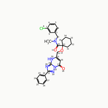 CN(Cc1cccc(Cl)c1)C(=O)C1(OCc2cc(=O)n3nc(-c4ccccc4)nc3[nH]2)CCCCC1